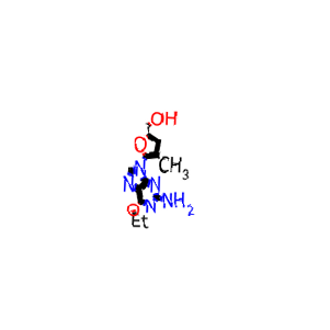 CCOc1nc(N)nc2c1ncn2C1O[C@H](CO)C[C@@H]1C